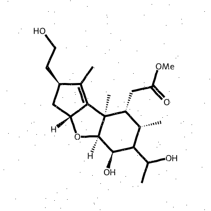 COC(=O)C[C@@H]1[C@H](C)C(C(C)O)[C@@H](O)[C@H]2O[C@@H]3C[C@@H](CCO)C(C)=C3[C@@]12C